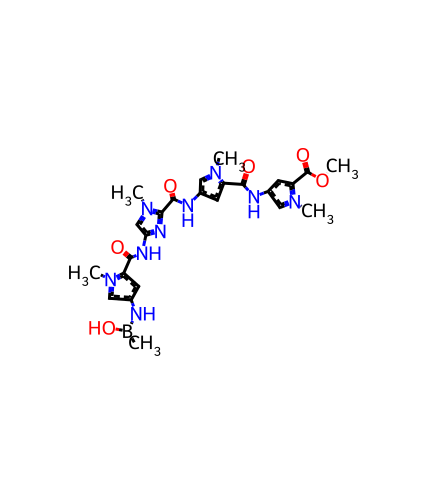 COC(=O)c1cc(NC(=O)c2cc(NC(=O)c3nc(NC(=O)c4cc(NB(C)O)cn4C)cn3C)cn2C)cn1C